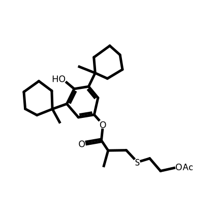 CC(=O)OCCSCC(C)C(=O)Oc1cc(C2(C)CCCCC2)c(O)c(C2(C)CCCCC2)c1